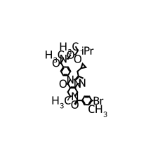 Cc1cc(C(=O)N2Cc3c(c(=O)n(-c4ccc(C(=O)N(C)COC(=O)[C@H](C)C(C)C)cc4)c4c(CC5CC5)cnn34)C[C@@H]2C)ccc1Br